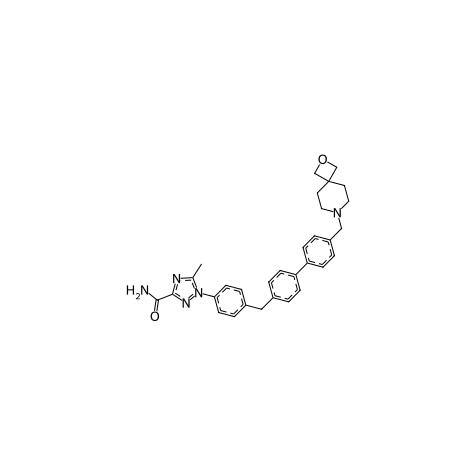 Cc1nc(C(N)=O)nn1-c1ccc(Cc2ccc(-c3ccc(CN4CCC5(CC4)COC5)cc3)cc2)cc1